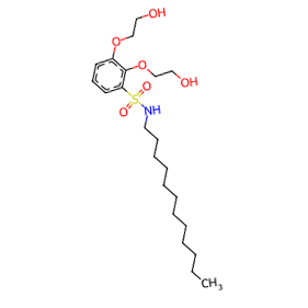 CCCCCCCCCCCCNS(=O)(=O)c1cccc(OCCO)c1OCCO